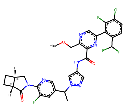 CC(c1cnc(N2C[C@H]3CC[C@H]3C2=O)c(F)c1)n1cc(NC(=O)c2nc(-c3c(C(F)F)ccc(Cl)c3F)cnc2COC(C)(C)C)cn1